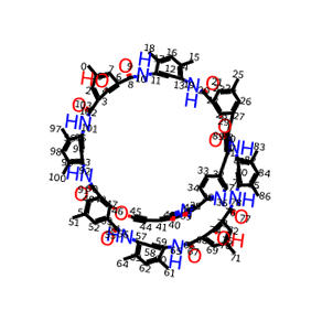 Cc1cc2c(O)c(c1)C(=O)Nc1cc(c(C)cc1C)NC(=O)c1cc(C)cc3c1OC#Cc1ccc(nc1)-c1ccc(cn1)C#COc1c(cc(C)cc1C(=O)Nc1cc(c(C)cc1C)NC(=O)c1cc(C)cc(c1O)C(=O)Nc1cc(c(C)cc1C)NC3=O)C(=O)Nc1cc(c(C)cc1C)NC2=O